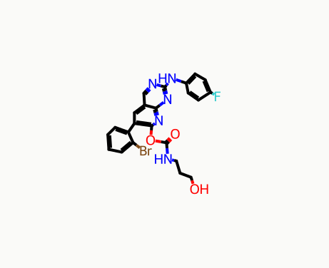 O=C(NCCCO)Oc1nc2nc(Nc3ccc(F)cc3)ncc2cc1-c1ccccc1Br